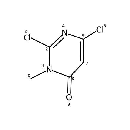 Cn1c(Cl)nc(Cl)cc1=O